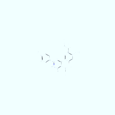 Cc1cc(OC(C)c2ccc(-c3ccc(C(F)(F)F)cc3)nc2C)ccc1CCC(=O)O